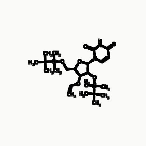 C=COC1C(O[Si](C)(C)C(C)(C)C)[C@H](n2ccc(=O)[nH]c2=O)O[C@@H]1CO[Si](C)(C)C(C)(C)C